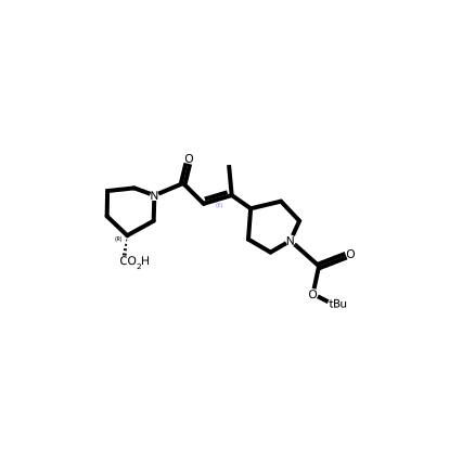 C/C(=C\C(=O)N1CCC[C@@H](C(=O)O)C1)C1CCN(C(=O)OC(C)(C)C)CC1